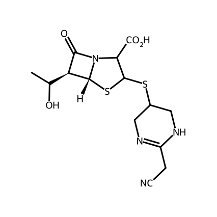 CC(O)[C@H]1C(=O)N2C(C(=O)O)C(SC3CN=C(CC#N)NC3)S[C@H]12